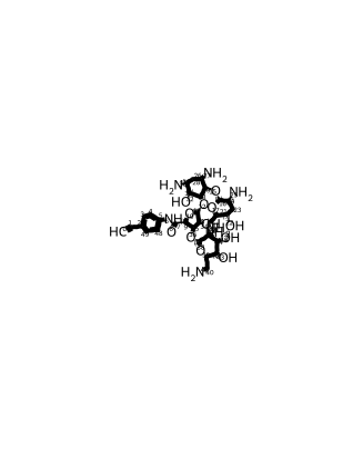 C#Cc1ccc(NC(=O)[C@H]2O[C@@H](OC3[C@H](O[C@H]4OC(CN)[C@@H](O)C[C@@H]4N)C(N)C[C@@H](N)[C@H]3O)[C@H](O)C2O[C@H]2OC(CN)[C@@H](O)C(O)C2N)cc1